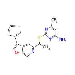 CC(Sc1nc(N)cc(C(F)(F)F)n1)c1cc2c(-c3ccccc3)coc2cn1